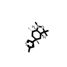 Cc1cc([C@@]2(C)C[C@@H]3[C@@H]([C@@H](C)C2)N(C)OC3(C)C)cs1